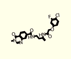 C=C(CCNC(=O)c1ccc2c(=O)n(C)cnc2c1)NC(=O)COc1ccc(Cl)c(F)c1